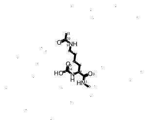 CNC(=O)C(CCCCNC(C)=O)NC(=O)O